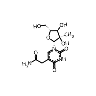 C[C@@]1(O)[C@H](O)[C@@H](CO)O[C@H]1n1cc(CC(N)=O)c(=O)[nH]c1=O